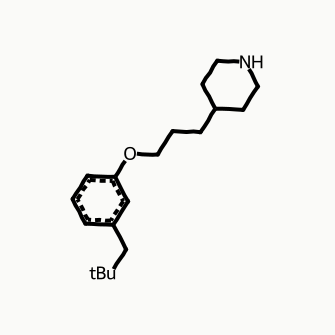 CC(C)(C)Cc1cccc(OCCCC2CCNCC2)c1